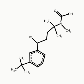 CN(C(=O)O)C(C)(C)CCC(O)c1cccc(C(C)(C)C)c1